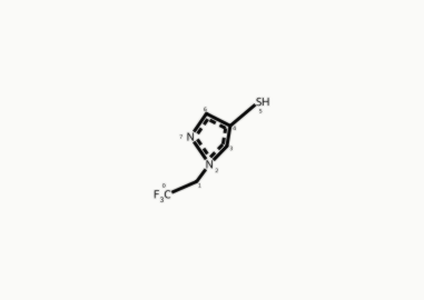 FC(F)(F)Cn1cc(S)cn1